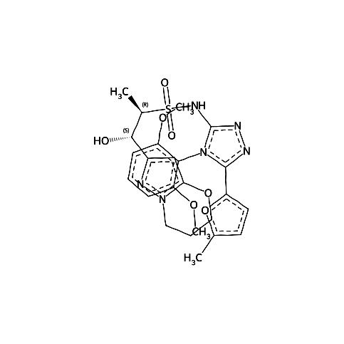 COc1cccc(OC)c1-n1c(NS(=O)(=O)[C@H](C)[C@@H](O)c2cc3n(n2)CCCO3)nnc1-c1ccc(C)o1